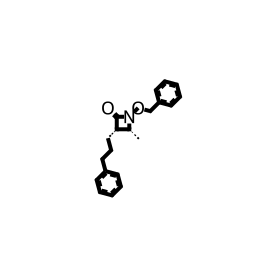 C[C@@H]1[C@H](CCCc2ccccc2)C(=O)N1OCc1ccccc1